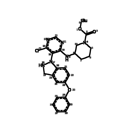 CC(C)(C)OC(=O)N1CCCC(Nc2ncnc(Cl)c2N2NCc3cc(Oc4ccccc4)ccc32)C1